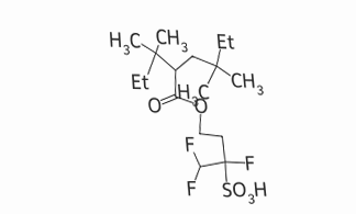 CCC(C)(C)CC(C(=O)OCCC(F)(C(F)F)S(=O)(=O)O)C(C)(C)CC